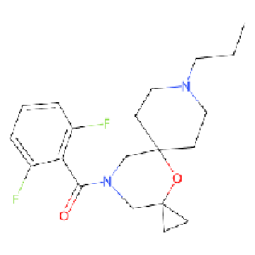 CCCN1CCC2(CC1)CN(C(=O)c1c(F)cccc1F)CC1(CC1)O2